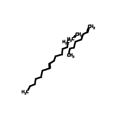 C=C.C=CCCCCCC.CCCCCCC=CCCCCCC